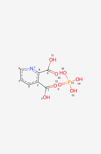 O=C(O)c1cccnc1C(=O)O.O=P(O)(O)O